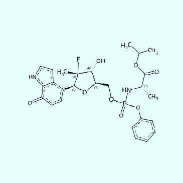 CC(C)OC(=O)[C@H](C)NP(=O)(OC[C@H]1O[C@@H](n2ccc(=O)c3[nH]ccc32)[C@](C)(F)[C@@H]1O)Oc1ccccc1